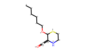 CCCCCCOC1SCCNC1=C=O